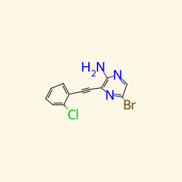 Nc1ncc(Br)nc1C#Cc1ccccc1Cl